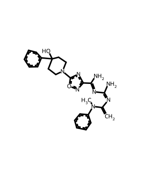 C=C(/N=C(N)\N=C(/N)c1noc(N2CCC(O)(c3ccccc3)CC2)n1)N(C)c1ccccc1